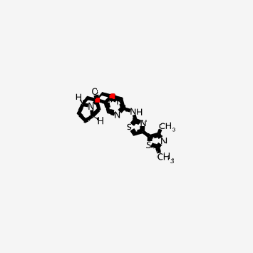 Cc1nc(C)c(-c2csc(Nc3ccc(C(=O)N4[C@@H]5CC[C@H]4C[C@@H](CC#N)C5)cn3)n2)s1